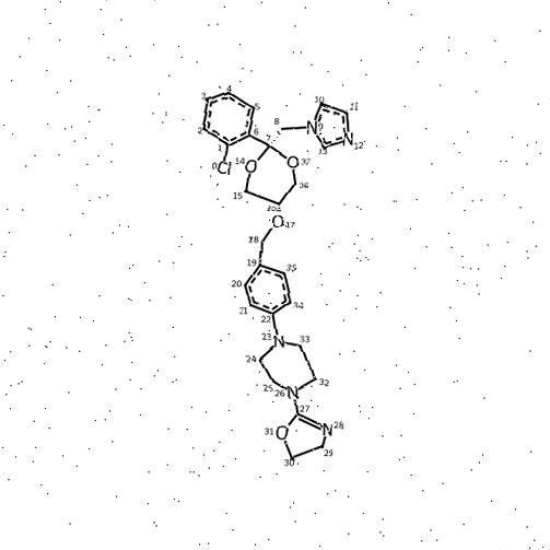 Clc1ccccc1[C@]1(Cn2ccnc2)OC[C@@H](OCc2ccc(N3CCN(C4=NCCO4)CC3)cc2)CO1